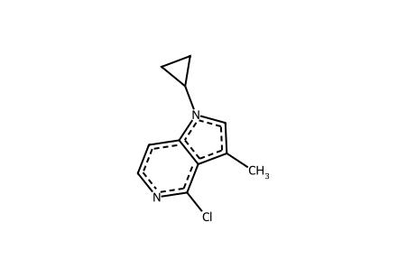 Cc1cn(C2CC2)c2ccnc(Cl)c12